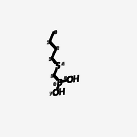 CCCCSCB(O)O